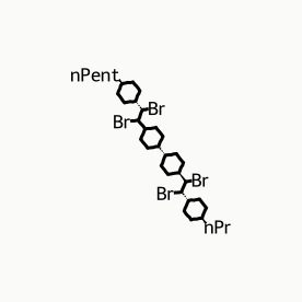 CCCCC[C@H]1CC[C@H](C(Br)C(Br)C2CCC([C@H]3CC[C@H](C(Br)C(Br)[C@H]4CC[C@H](CCC)CC4)CC3)CC2)CC1